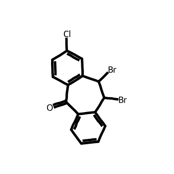 O=C1c2ccccc2C(Br)C(Br)c2cc(Cl)ccc21